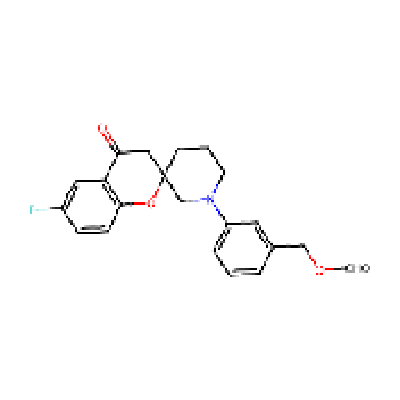 O=COCc1cccc(N2CCCC3(CC(=O)c4cc(F)ccc4O3)C2)c1